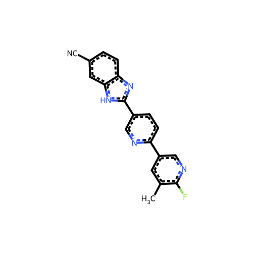 Cc1cc(-c2ccc(-c3nc4ccc(C#N)cc4[nH]3)cn2)cnc1F